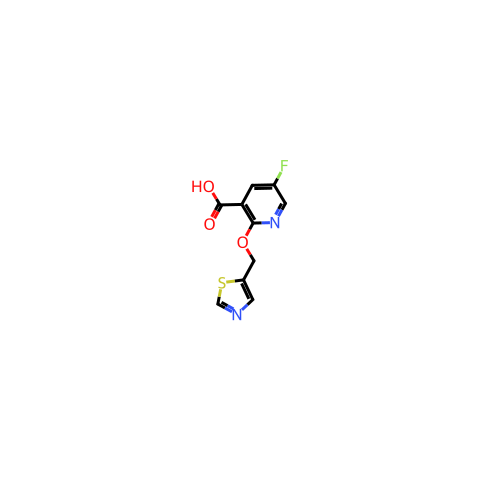 O=C(O)c1cc(F)cnc1OCc1cncs1